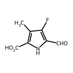 Cc1c(C(=O)O)[nH]c(C=O)c1F